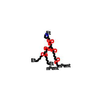 CC/C=C\CCCCOC(CCC(=O)OCC(COC(=O)CCCCCC(=O)OCCC(CCCCC)CCCCC)COC(=O)OCC1CCCN(CC)C1)OCCCC/C=C\CC